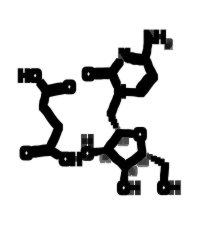 Nc1ccn(C[C@@H]2O[C@H](CO)[C@@H](O)[C@H]2O)c(=O)n1.O=C(O)CCC(=O)O